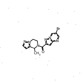 CC1c2ccnn2CCN1C(=O)c1cc2ncc(Br)cn2n1